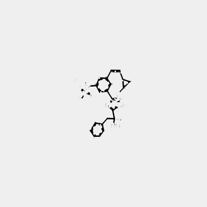 CCCN(c1cc(/C=C\C2CC2C)cc(-c2n[nH]c([C@](C)(N)Cc3ccccc3)n2)c1)S(C)(=O)=O